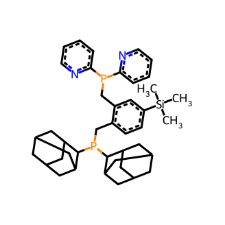 C[Si](C)(C)c1ccc(CP(C2C3CC4CC(C3)CC2C4)C2C3CC4CC(C3)CC2C4)c(CP(c2ccccn2)c2ccccn2)c1